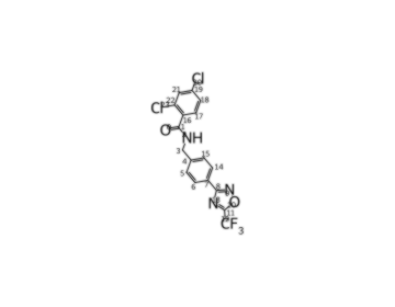 O=C(NCc1ccc(-c2noc(C(F)(F)F)n2)cc1)c1ccc(Cl)cc1Cl